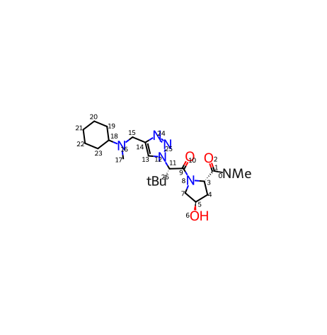 CNC(=O)[C@@H]1C[C@@H](O)CN1C(=O)[C@@H](n1cc(CN(C)C2CCCCC2)nn1)C(C)(C)C